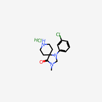 CN1CN(c2cccc(Cl)c2)C2(CCNCC2)C1=O.Cl